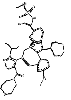 CNS(=O)(=O)NC(=O)c1ccc2c(C3CCCCC3)c3n(c2c1)CC(c1c(C(=O)N2CCOCC2)cnn1C(C)C)=Cc1cc(OC)ccc1-3